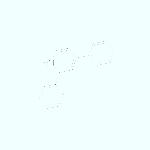 C1=CC(c2ccccc2)=C[C](c2ccccc2)N1